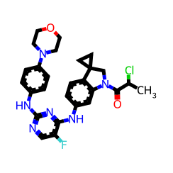 CC(Cl)C(=O)N1CC2(CC2)c2ccc(Nc3nc(Nc4ccc(N5CCOCC5)cc4)ncc3F)cc21